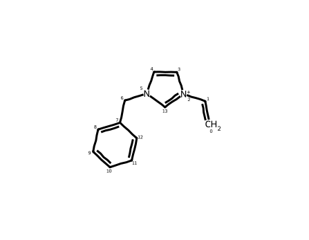 C=C[n+]1ccn(Cc2ccccc2)c1